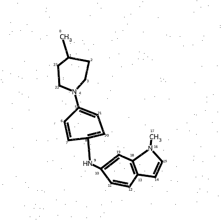 CC1CCN(c2ccc(Nc3ccc4ccn(C)c4c3)cc2)CC1